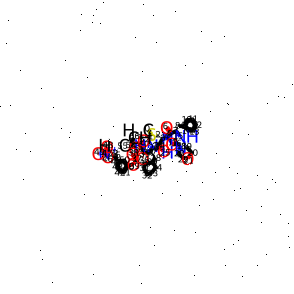 CSC[C@H](NC(=O)[C@H](Cc1ccccc1)NC(=O)N1CCOCC1)C(=O)N[C@@H](CC1CCCCC1)[C@H](OC(=O)Oc1cccc(CO[N+](=O)[O-])c1)C(=O)OC(C)C